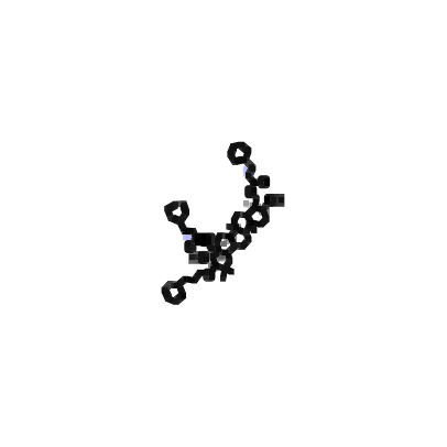 CC1(C)CC2C3=CCC4[C@@]5(C)CC[C@H](O)[C@](C)(COC(=O)/C=C/c6ccccc6)C5CC[C@@]4(C)[C@]3(C)C[C@@H](O)[C@@]2(COC(=O)/C=C/c2ccccc2)[C@@H](O)[C@@H]1OCCCc1ccccc1